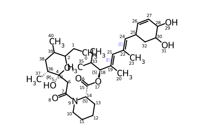 CCC1O[C@@](O)(CC(=O)N2CCCC[C@H]2C(=O)O[C@H](/C(C)=C/C(C)=C/C2C=CC(O)C(O)C2)C(C)C)[C@H](C)CC1C